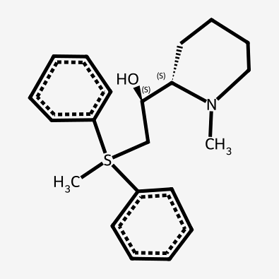 CN1CCCC[C@H]1[C@H](O)CS(C)(c1ccccc1)c1ccccc1